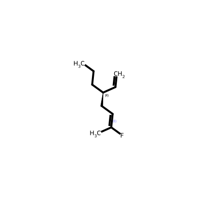 C=C[C@@H](C/C=C(\C)F)CCC